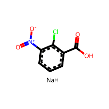 O=C(O)c1cccc([N+](=O)[O-])c1Cl.[NaH]